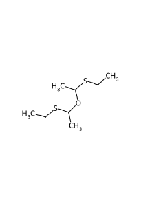 CCSC(C)OC(C)SCC